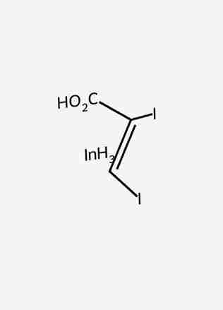 O=C(O)C(I)=CI.[InH3]